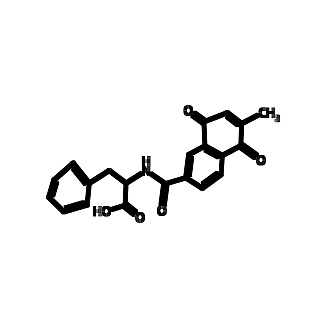 CC1=CC(=O)c2cc(C(=O)NC(Cc3ccccc3)C(=O)O)ccc2C1=O